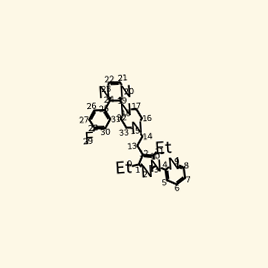 CCc1nn(-c2ccccn2)c(CC)c1CCN1CCN(c2nccnc2-c2ccc(F)cc2)CC1